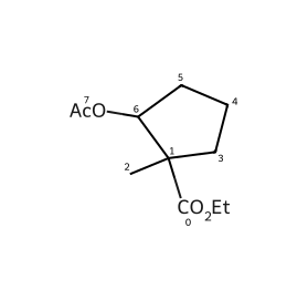 CCOC(=O)C1(C)CCCC1OC(C)=O